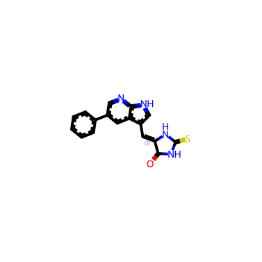 O=C1NC(=S)N/C1=C\c1c[nH]c2ncc(-c3ccccc3)cc12